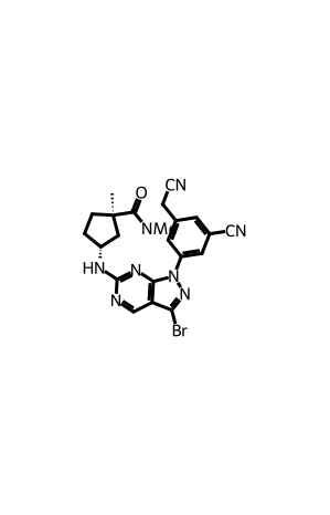 CNC(=O)[C@]1(C)CC[C@@H](Nc2ncc3c(Br)nn(-c4cc(C#N)cc(CC#N)c4)c3n2)C1